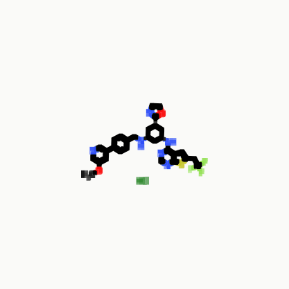 COc1cncc(-c2ccc(CN[C@H]3C[C@@H](Nc4ncnc5sc(CC(F)(F)F)cc45)C[C@@H](c4ncco4)C3)cc2)c1.Cl